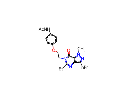 CCCc1nn(C)c2c(=O)n(CCOc3ccc(NC(C)=O)cc3)c(CC)nc12